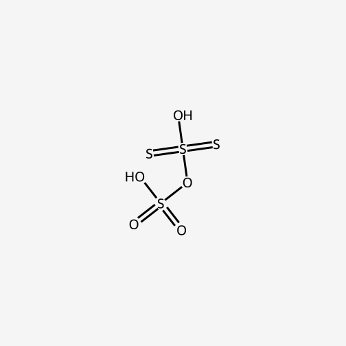 O=S(=O)(O)OS(O)(=S)=S